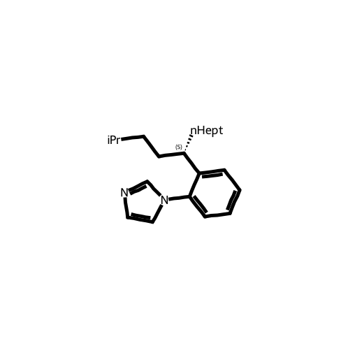 CCCCCCC[C@@H](CCC(C)C)c1ccccc1-n1ccnc1